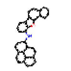 c1ccc2c(c1)ccc1c3cccc(Nc4ccc5ccc6cccc7ccc4c5c67)c3oc21